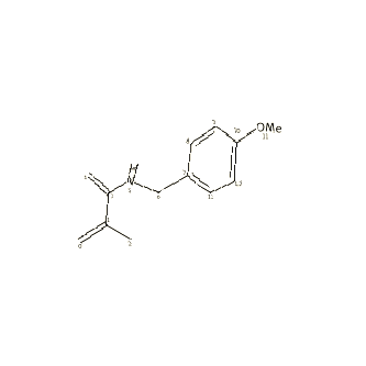 C=C(C)C(=C)NCc1ccc(OC)cc1